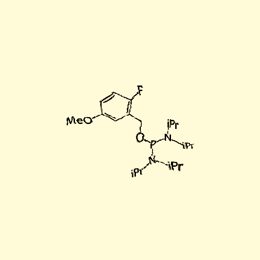 COc1ccc(F)c(COP(N(C(C)C)C(C)C)N(C(C)C)C(C)C)c1